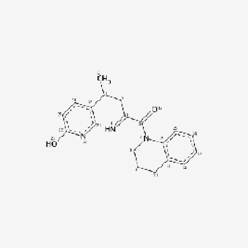 CC(CC(=N)C(=O)N1CCCc2ccccc21)c1ccc(O)nc1